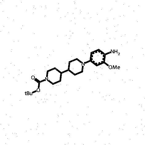 COc1cc(N2CCC(C3CCN(C(=O)OC(C)(C)C)CC3)CC2)ccc1N